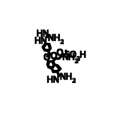 CS(=O)(=O)O.N=C(N)Nc1ccc(C(=O)Oc2ccc3cc(C(=N)N)ccc3c2CCC(N)=O)cc1